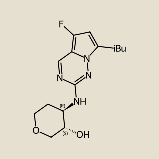 CCC(C)c1cc(F)c2cnc(N[C@@H]3CCOC[C@H]3O)nn12